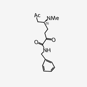 CN[C@@H](CCC(=O)C(=O)NCc1ccccc1)CC(C)=O